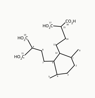 CC1CCC(C)C(CCC(C(=O)O)C(=O)O)C1CCC(C(=O)O)C(=O)O